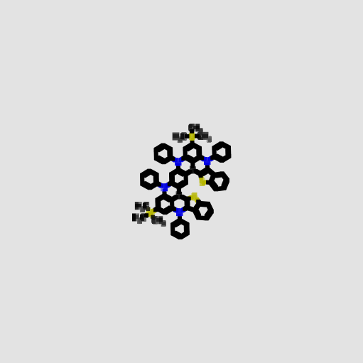 CS(C)(C)c1cc2c3c(c1)N(c1ccccc1)c1c(sc4ccccc14)B3c1cc3c(cc1N2c1ccccc1)N(c1ccccc1)c1cc(S(C)(C)C)cc2c1B3c1sc3ccccc3c1N2c1ccccc1